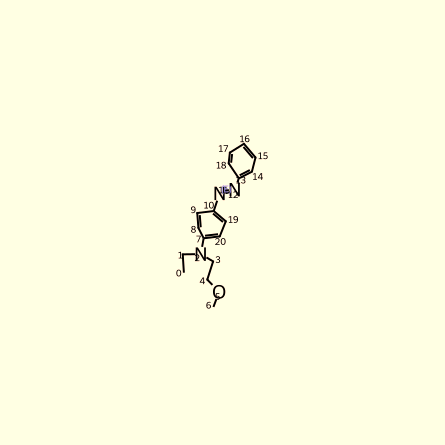 CCN(CCOC)c1ccc(/N=N/c2ccccc2)cc1